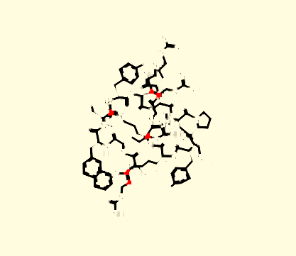 CC(=O)N[C@@H](CCCNC(N)=O)C(=O)N[C@@H](CCCNC(=N)N)C(=O)N[C@@H](Cc1ccc2ccccc2c1)C(=O)N[C@@H](CS)C(=O)N[C@@H](Cc1ccc(O)cc1)C(=O)N[C@@H](CCCNC(=N)N)C(=O)N[C@@H](CCCCN)C(=O)N[C@H](CCCCN)C(=O)N1CCC[C@H]1C(=O)N[C@@H](Cc1ccc(O)cc1)C(=O)N[C@@H](CCCNC(N)=O)C(=O)N[C@@H](CCCNC(N)=O)C(=O)N[C@@H](CS)C(=O)N[C@@H](CCCNC(=N)N)C(N)=O